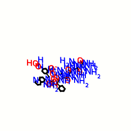 N=C(N)NC(NC(=O)C(NC(=N)N)NC(=O)C(NC(=N)N)NC(=O)C(NC(=N)N)NC(=O)C(NC(=O)C(O)N(Cc1ccc(NOO)cc1[N+](=O)[O-])c1ccc2ncccc2c1N)c1ccccc1)C(N)=O